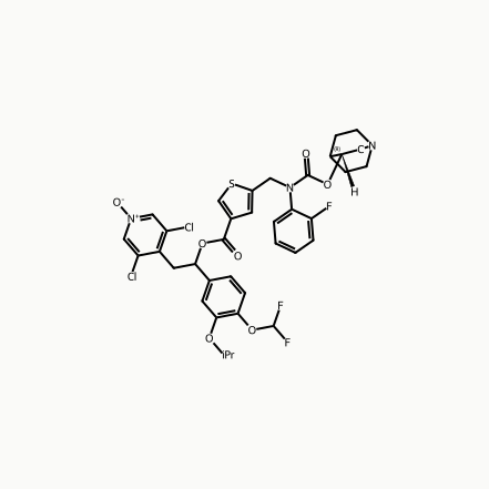 CC(C)Oc1cc(C(Cc2c(Cl)c[n+]([O-])cc2Cl)OC(=O)c2csc(CN(C(=O)O[C@H]3CN4CCC3CC4)c3ccccc3F)c2)ccc1OC(F)F